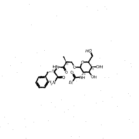 CCC(=O)N[C@@H]1C(OC[C@H](C)C(=O)N[C@@H](Cc2ccccc2)C(N)=O)OC(CO)[C@@H](O)C1O